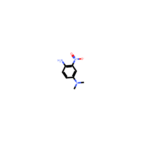 CN(C)c1ccc(N)c([N+](=O)[O-])c1